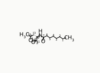 CCCCCCCC(=O)N[C@H]([C]=O)CC(C)C